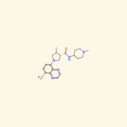 CC1CN(c2ccc(C(F)(F)F)c3nccnc23)C[C@H]1C(=O)NC1CCN(C)CC1